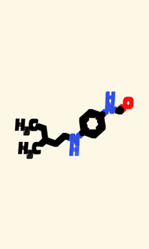 CCC(C)CCNc1ccc(NC=O)cc1